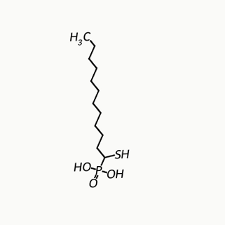 CCCCCCCCCCCC(S)P(=O)(O)O